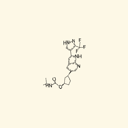 CC(C)NC(=O)O[C@@H]1CC[C@H](c2cnc3[nH]c(-c4c[nH]nc4C(F)(F)F)cc3c2)C1